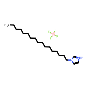 CCCCCCCCCCCCCCCCCn1cc[nH+]c1.F[B-](F)(F)F